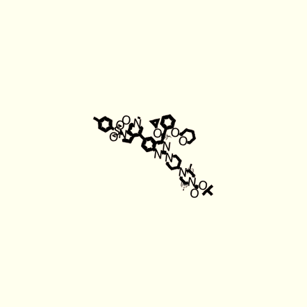 Cc1ccc(S(=O)(=O)n2ccc3c(-c4ccc5nc(N6CCC(N7C[C@@H](C)N(C(=O)OC(C)(C)C)C[C@@H]7C)CC6)nc([C@@](COC6CCCCO6)(OC6CC6)c6ccccc6)c5c4)cn(C)c(=O)c32)cc1